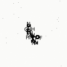 CN(C)c1nccc(-c2[nH]c(C3OCC(C)(C(=O)Nc4ccncc4)CO3)nc2-c2ccc(F)cc2)n1